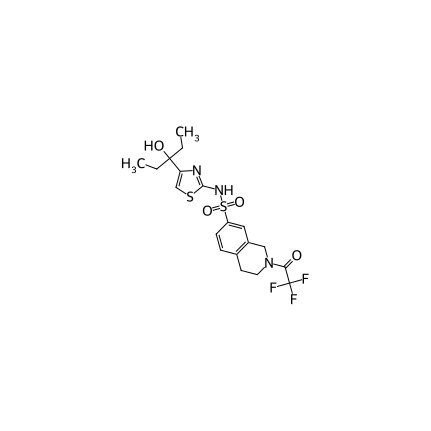 CCC(O)(CC)c1csc(NS(=O)(=O)c2ccc3c(c2)CN(C(=O)C(F)(F)F)CC3)n1